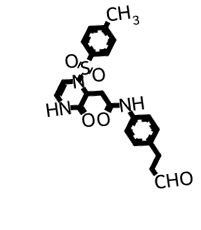 Cc1ccc(S(=O)(=O)N2C=CNC(=O)C2CC(=O)Nc2ccc(CCC=O)cc2)cc1